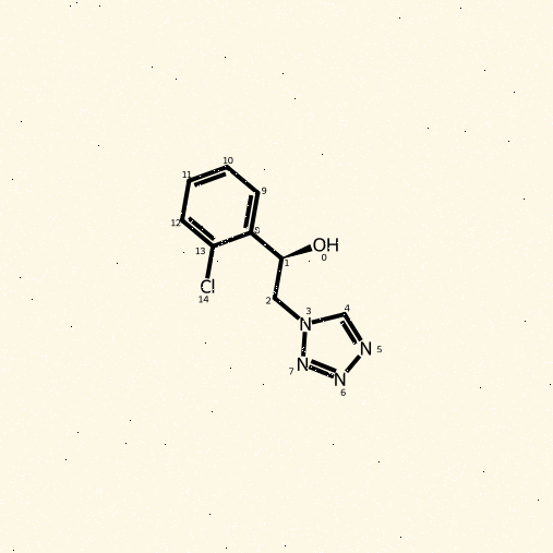 O[C@@H](Cn1cnnn1)c1ccccc1Cl